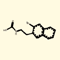 O=C(O)NCCc1cc2ccccc2cc1Br